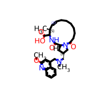 COc1cc(CN(C)C[C@@H]2C[C@H]3C(=O)NC(C(=O)O)[C@@H](C)/C=C\CCCCCCC(=O)N3C2)c2ccccc2n1